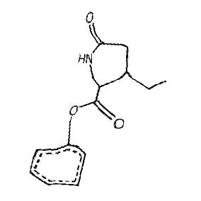 CCC1CC(=O)NC1C(=O)Oc1ccccc1